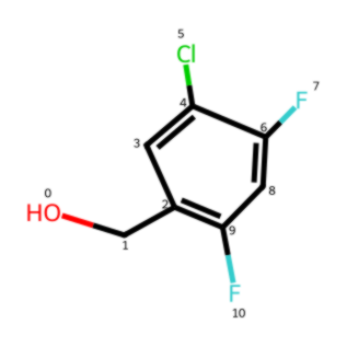 OCc1cc(Cl)c(F)cc1F